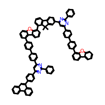 CC1(C)c2cc(-c3cc(-c4ccc(-c5ccc(-c6cccc7c6oc6ccccc67)cc5)cc4)nc(-c4ccccc4)n3)ccc2-c2cccc(-c3cccc4c3oc3cccc(-c5ccc(-c6ccc(-c7cc(-c8ccc(-c9cc%10ccccc%10c%10ccccc9%10)cc8)nc(-c8ccccc8)n7)cc6)cc5)c34)c21